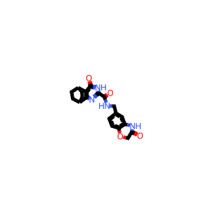 O=C1COc2ccc(CNC(=O)c3nc4c(c(=O)[nH]3)C3CCC4CC3)cc2N1